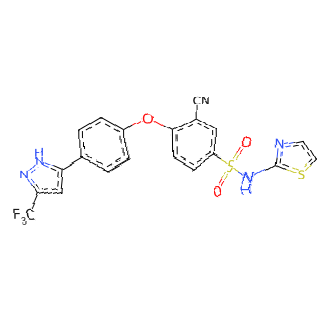 N#Cc1cc(S(=O)(=O)Nc2nccs2)ccc1Oc1ccc(-c2cc(C(F)(F)F)n[nH]2)cc1